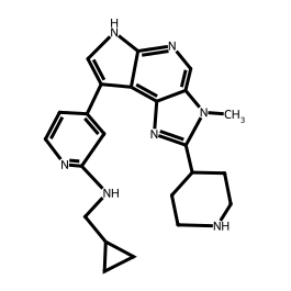 Cn1c(C2CCNCC2)nc2c3c(-c4ccnc(NCC5CC5)c4)c[nH]c3ncc21